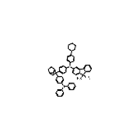 CC1(C)c2ccccc2-c2cc(N(c3ccc(C4CCCCC4)cc3)c3ccc(C4(c5ccc(N(c6ccccc6)c6ccccc6)cc5)CC5CCC4C5)cc3)ccc21